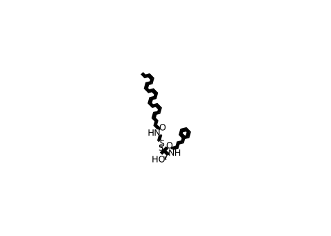 CC/C=C\C/C=C\C/C=C\C/C=C\C/C=C\C/C=C\CCC(=O)NCCSSC(C)(C)[C@@H](CO)NC(=O)CCCc1ccccc1